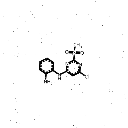 CS(=O)(=O)c1nc(Cl)cc(Nc2ccccc2N)n1